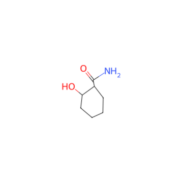 NC(=O)C1CCCCC1O